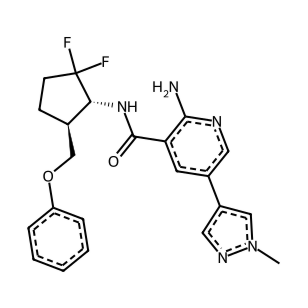 Cn1cc(-c2cnc(N)c(C(=O)N[C@@H]3[C@@H](COc4ccccc4)CCC3(F)F)c2)cn1